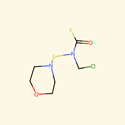 O=C(F)N(CCl)SN1CCOCC1